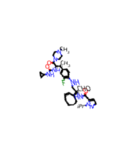 CC(C)n1nccc1C(=O)N[C@@](C=O)(CNc1ccc([C@H](C)[C@@H](NC(=O)NC2CC2)C(=O)N2CCN(C)CC2)cc1F)C1CCCCCC1